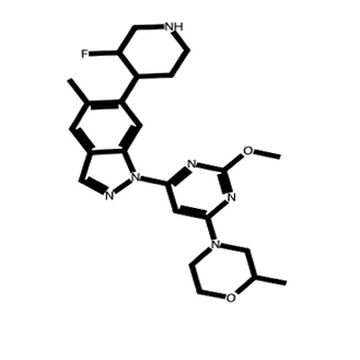 COc1nc(N2CCOC(C)C2)cc(-n2ncc3cc(C)c(C4CCNCC4F)cc32)n1